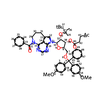 COc1ccc(C(OC[C@H]2O[C@@H](n3cc4c5c(ncnc53)N(C(=O)c3ccccc3)CCC4)[C@H](O[Si](C)(C)C(C)(C)C)[C@@H]2OC(=O)CCC(C)=O)(c2ccccc2)c2ccc(OC)cc2)cc1